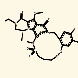 CCN1C[C@H](C)n2c(c(OC)c3c(=O)n4nc(c32)N(C)S(=O)(=O)CCCCOc2cc(F)c(F)cc2C4)C1=O